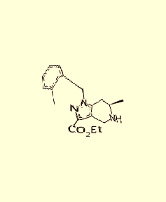 CCOC(=O)c1nn(Cc2ccccc2C)c2c1CN[C@H](C)C2